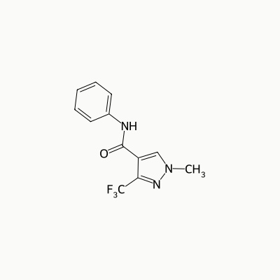 Cn1cc(C(=O)Nc2ccccc2)c(C(F)(F)F)n1